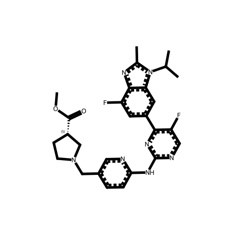 COC(=O)[C@H]1CCN(Cc2ccc(Nc3ncc(F)c(-c4cc(F)c5nc(C)n(C(C)C)c5c4)n3)nc2)C1